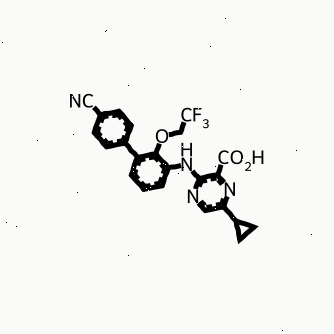 N#Cc1ccc(-c2cccc(Nc3ncc(C4CC4)nc3C(=O)O)c2OCC(F)(F)F)cc1